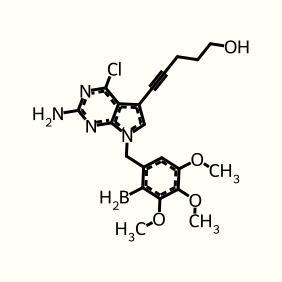 Bc1c(Cn2cc(C#CCCCO)c3c(Cl)nc(N)nc32)cc(OC)c(OC)c1OC